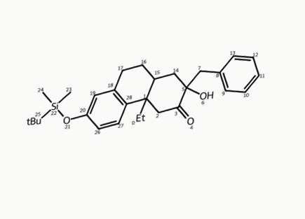 CCC12CC(=O)C(O)(Cc3ccccc3)CC1CCc1cc(O[Si](C)(C)C(C)(C)C)ccc12